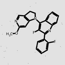 COc1cc2c(cn1)CCN2c1c(F)c(-c2ccccc2F)nc2ccccc12